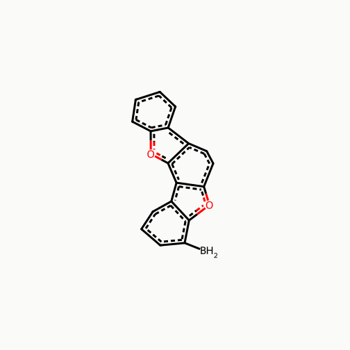 Bc1cccc2c1oc1ccc3c4ccccc4oc3c12